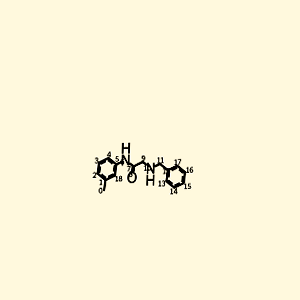 Cc1cccc(NC(=O)CNCc2ccccc2)c1